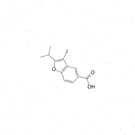 CC(C)c1oc2ccc(C(=O)O)cc2c1I